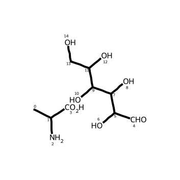 CC(N)C(=O)O.O=CC(O)C(O)C(O)C(O)CO